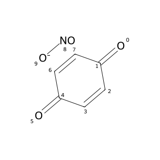 O=C1C=CC(=O)C=C1.O=[NH+][O-]